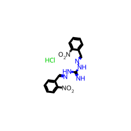 Cl.N=C(NN=Cc1ccccc1[N+](=O)[O-])NN=Cc1ccccc1[N+](=O)[O-]